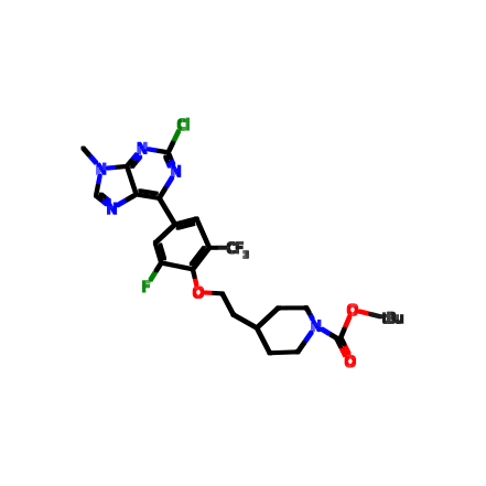 Cn1cnc2c(-c3cc(F)c(OCCC4CCN(C(=O)OC(C)(C)C)CC4)c(C(F)(F)F)c3)nc(Cl)nc21